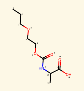 CCCOCCOC(=O)NC(C)C(=O)O